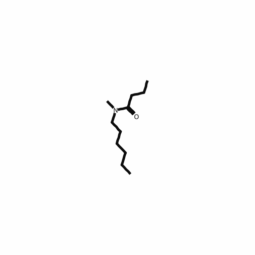 CCCCCCN(C)C(=O)CCC